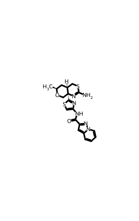 C[C@H]1C[C@H]2CSC(N)=N[C@@]2(c2nc(NC(=O)c3cc4ccccn4n3)cs2)CO1